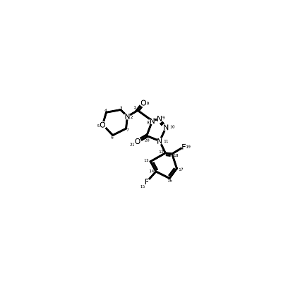 O=C(N1CCOCC1)n1nnn(-c2cc(F)ccc2F)c1=O